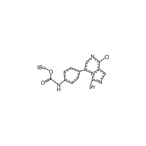 CC(C)c1ncc2c(Cl)ncc(-c3ccc(NC(=O)OC(C)(C)C)cc3)n12